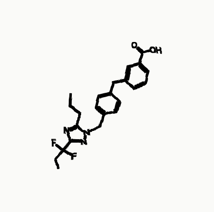 CCCc1nc(C(F)(F)CC)nn1Cc1ccc(Cc2cccc(C(=O)O)c2)cc1